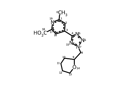 Cc1cc(-c2nnn(CC3CCCCO3)n2)cc(C(=O)O)n1